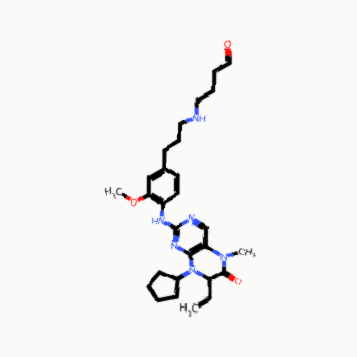 CCC1C(=O)N(C)c2cnc(Nc3ccc(CCCNCCCC=O)cc3OC)nc2N1C1CCCC1